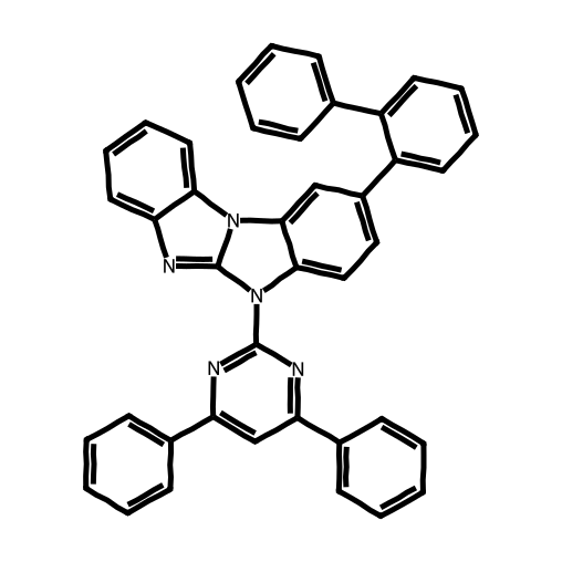 c1ccc(-c2cc(-c3ccccc3)nc(-n3c4ccc(-c5ccccc5-c5ccccc5)cc4n4c5ccccc5nc34)n2)cc1